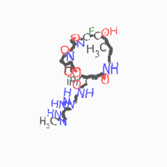 CC1=C\[C@@H](O)C[C@@H](F)Cc2nc(co2)C(=O)N2CCC[C@@H]2C(=O)O[C@H](C(C)C)[C@H](CC(=O)NCCN2C=C(c3cnc(C)[nH]3)NN2)/C=C/C(=O)NC\C=C\1